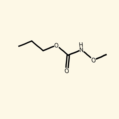 CCCOC(=O)NOC